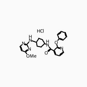 COc1ccnc(NC2CCC(NC(=O)c3cccnc3Oc3ccccc3)CC2)n1.Cl